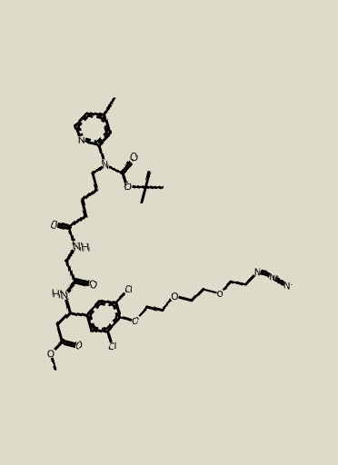 COC(=O)CC(NC(=O)CNC(=O)CCCCN(C(=O)OC(C)(C)C)c1cc(C)ccn1)c1cc(Cl)c(OCCOCCOCCN=[N+]=[N-])c(Cl)c1